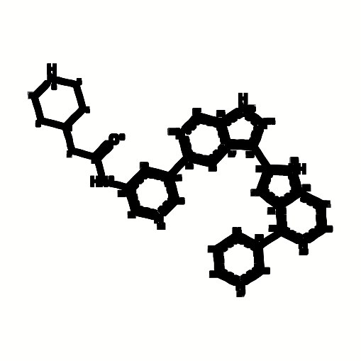 O=C(CC1CCNCC1)Nc1cncc(-c2cc3c(-c4cc5c(-c6cccnc6)nccc5[nH]4)n[nH]c3cn2)c1